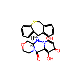 O=C1c2c(O)c(=O)ccn2N([C@@H]2c3ccccc3SCc3cccc(O)c32)[C@@H]2COCCN12